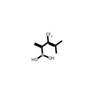 C=C(B(O)O)C(=C(C)C)C(F)(F)F